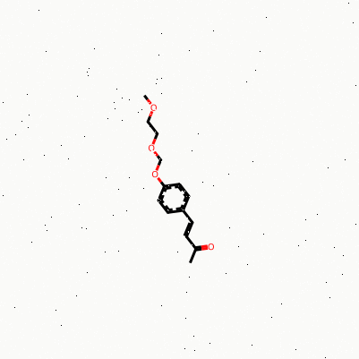 COCCOCOc1ccc(/C=C/C(C)=O)cc1